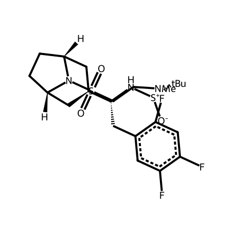 CNCCS(=O)(=O)N1[C@@H]2CC[C@H]1C[C@H]([C@@H](Cc1cc(F)c(F)cc1F)N[S@@+]([O-])C(C)(C)C)C2